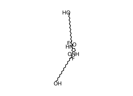 O=C(N[C@@H]1CC[C@H](NC(=O)/C(F)=C/CCCCCCCCCCCCCCO)C1)/C(F)=C/CCCCCCCCCCCCCCO